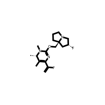 C=C(F)C1=C(C)[C@H](C)N(C)C(OC[C@@]23CCCN2C[C@H](F)C3)=N1